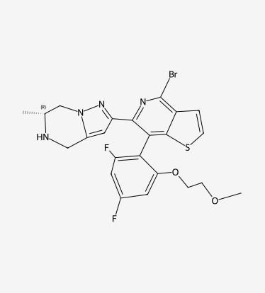 COCCOc1cc(F)cc(F)c1-c1c(-c2cc3n(n2)C[C@@H](C)NC3)nc(Br)c2ccsc12